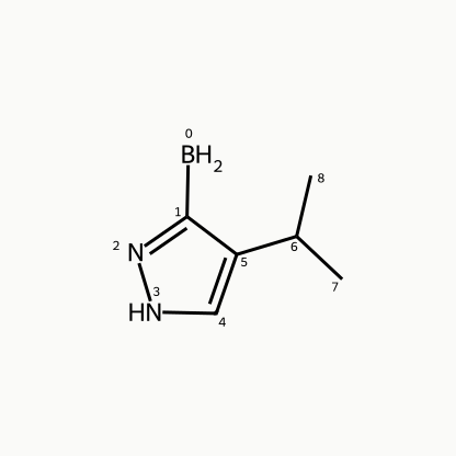 Bc1n[nH]cc1C(C)C